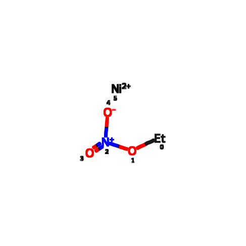 CCO[N+](=O)[O-].[Ni+2]